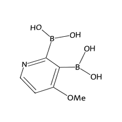 COc1ccnc(B(O)O)c1B(O)O